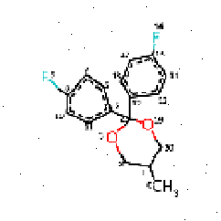 CC1COC(c2ccc(F)cc2)(c2ccc(F)cc2)OC1